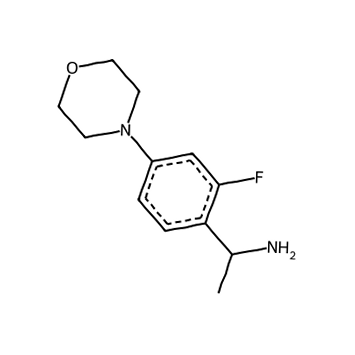 CC(N)c1ccc(N2CCOCC2)cc1F